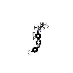 NC(=S)N/N=C/c1ccc(N2CCN(Cc3ccc(Cl)cc3)CC2)c(F)c1F